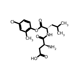 Cc1cc(Cl)ccc1OC(=O)[C@H](CC(C)C)NC(=O)[C@@H](N)CC(=O)O